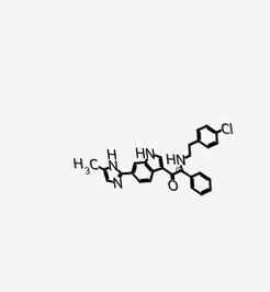 Cc1cnc(-c2ccc3c(C(=O)[C@@H](NCCc4ccc(Cl)cc4)c4ccccc4)c[nH]c3c2)[nH]1